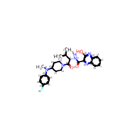 CC(C)[C@H](NC(=O)c1nc2ccccc2nc1O)C(=O)N1CCC(N(C)c2ccc(F)cc2)CC1